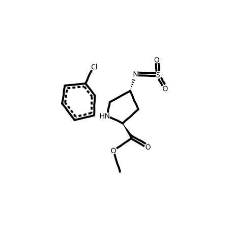 COC(=O)[C@@H]1C[C@@H](N=S(=O)=O)CN1.Clc1ccccc1